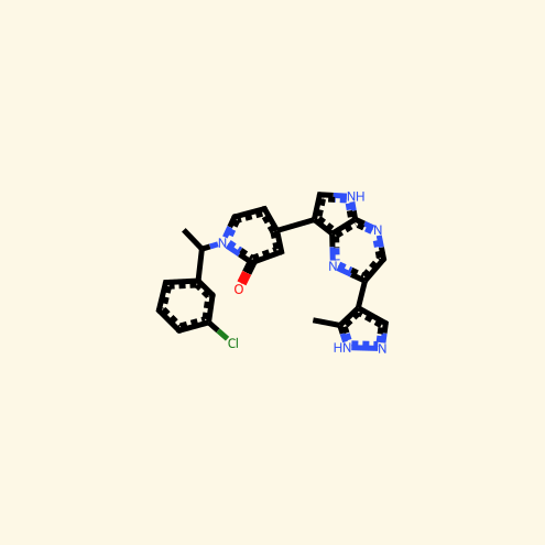 Cc1[nH]ncc1-c1cnc2[nH]cc(-c3ccn(C(C)c4cccc(Cl)c4)c(=O)c3)c2n1